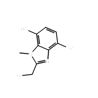 Cn1c(CBr)nc2c(O)ccc(O)c21